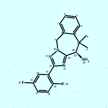 CC1(C)c2ccccc2Cn2nc(-c3cc(F)ccc3F)nc2[C@@H]1N